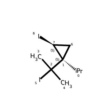 CC(C)[C@@]1(C(C)(C)I)C[C@@H]1I